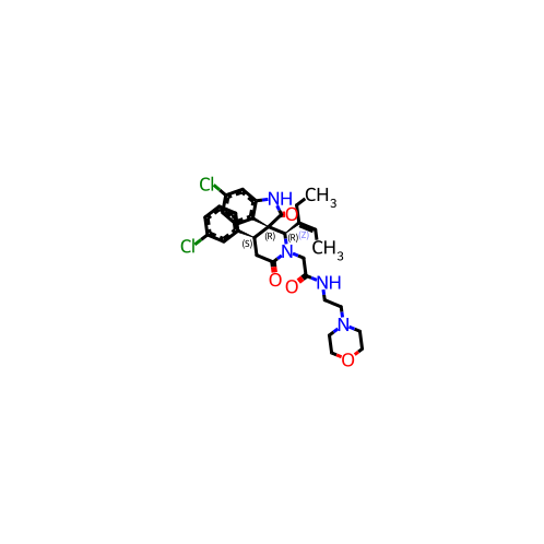 C/C=C(/CC)[C@H]1N(CC(=O)NCCN2CCOCC2)C(=O)C[C@@H](c2cccc(Cl)c2)[C@]12C(=O)Nc1cc(Cl)ccc12